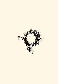 CC[C@H](C)[C@@H]1NC(=O)[C@H](CC(C)C)N(C)C(=O)C[C@@H](C(=O)N2CCCCC2)N(C)C(=O)[C@H](C(C)C)N(C)C(=O)C2(CCCC2)NC(=O)[C@@H]2CCCN2C(=O)[C@H](CCc2ccc(C(F)(F)F)c(Cl)c2)NC(=O)CN(C)C(=O)[C@H](Cc2ccc(Br)cc2)N(C)C(=O)CN(C)C(=O)CN(C)C1=O